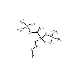 C[C](O[Si](C)(C)C)C(C)(C[SiH2]O[SiH3])O[Si](C)(C)C